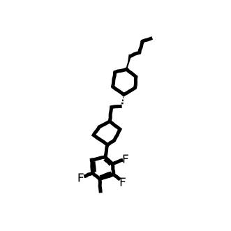 CCCC[C@H]1CC[C@H](CCC2CCC(c3cc(F)c(C)c(F)c3F)CC2)CC1